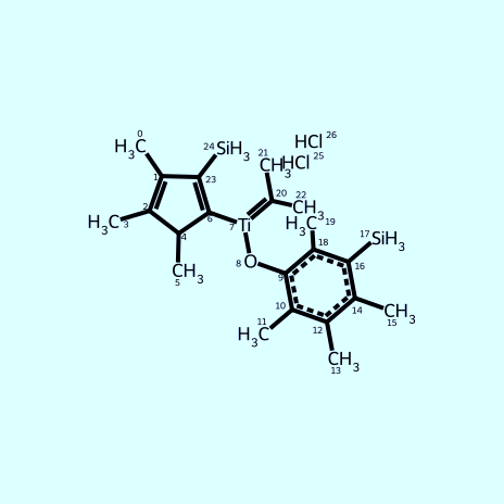 CC1=C(C)C(C)[C]([Ti]([O]c2c(C)c(C)c(C)c([SiH3])c2C)=[C](C)C)=C1[SiH3].Cl.Cl